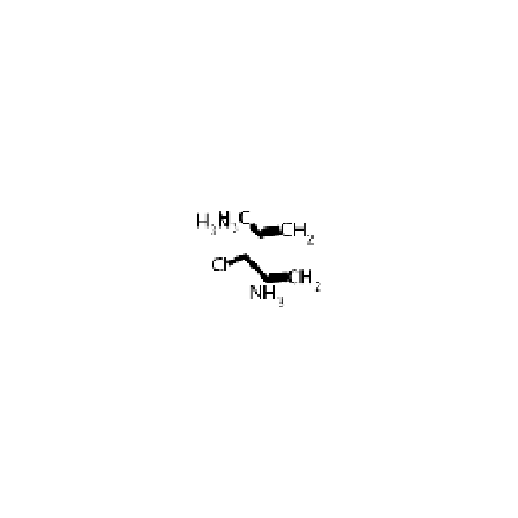 C=CC.C=CCCl.N.N